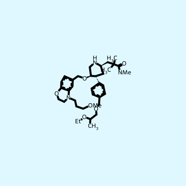 CCOC(C)COCc1ccc([C@H]2C[C@H](CC(C)(C)C(=O)NC)NC[C@@H]2OCc2ccc3c(c2)N(CCCOC)CCO3)cc1